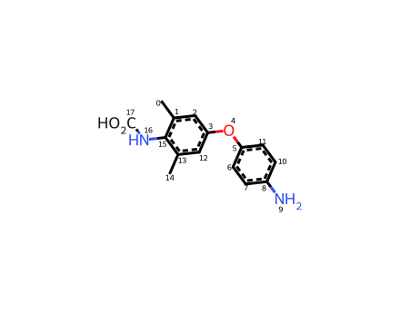 Cc1cc(Oc2ccc(N)cc2)cc(C)c1NC(=O)O